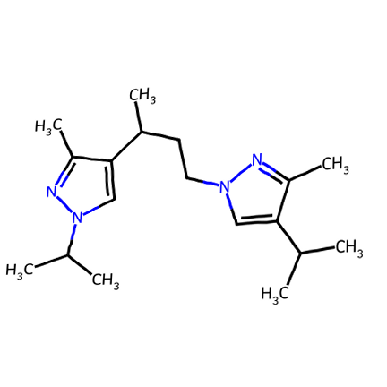 Cc1nn(CCC(C)c2cn(C(C)C)nc2C)cc1C(C)C